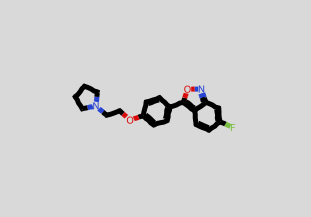 Fc1ccc2c(-c3ccc(OCCN4CCCC4)cc3)onc2c1